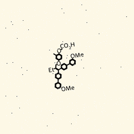 CCC(COc1ccc(OCC(=O)O)c(C)c1)=C(c1ccc(-c2cccc(OC)c2)cc1)c1ccc(-c2cccc(OC)c2)cc1